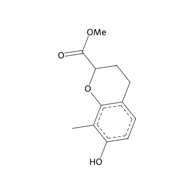 COC(=O)C1CCc2ccc(O)c(C)c2O1